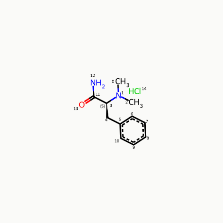 CN(C)[C@@H](Cc1ccccc1)C(N)=O.Cl